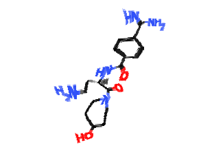 N=C(N)c1ccc(C(=O)N[C@@H](CCN)C(=O)N2CCC(O)CC2)cc1